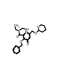 CCN1CNn2c(COC3CCCCO3)cc(=O)c(OCc3ccccc3)c2C1=O